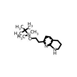 CC(C)(C)[Si](C)(C)OCCc1ccc2c(n1)NCCC2